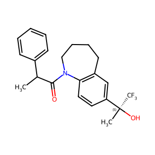 CC(C(=O)N1CCCCc2cc([C@](C)(O)C(F)(F)F)ccc21)c1ccccc1